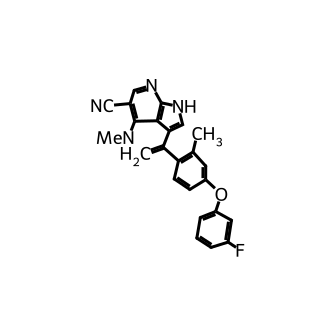 C=C(c1ccc(Oc2cccc(F)c2)cc1C)c1c[nH]c2ncc(C#N)c(NC)c12